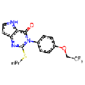 CCCSc1nc2cc[nH]c2c(=O)n1-c1ccc(OCC(F)(F)F)cc1